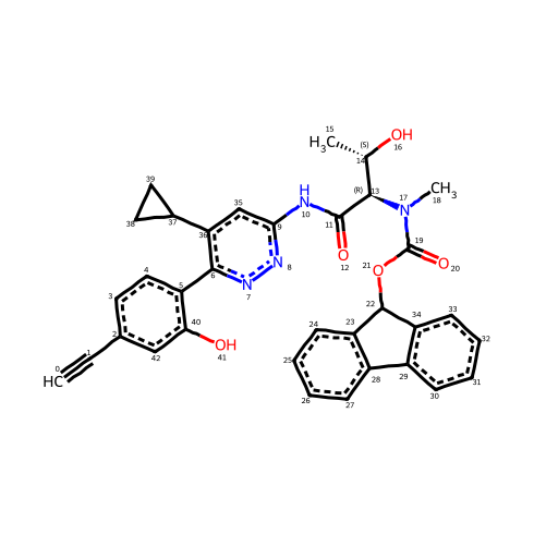 C#Cc1ccc(-c2nnc(NC(=O)[C@@H]([C@H](C)O)N(C)C(=O)OC3c4ccccc4-c4ccccc43)cc2C2CC2)c(O)c1